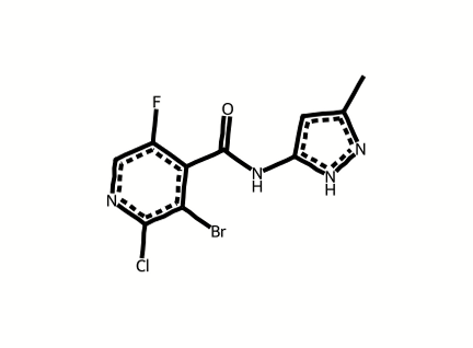 Cc1cc(NC(=O)c2c(F)cnc(Cl)c2Br)[nH]n1